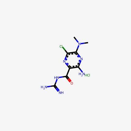 CN(C)c1nc(N)c(C(=O)NC(=N)N)nc1Cl.Cl